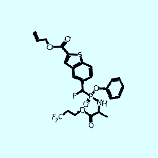 C=CCOC(=O)c1cc2cc(C(F)P(=O)(NC(C)C(=O)OCCC(F)(F)F)Oc3ccccc3)ccc2s1